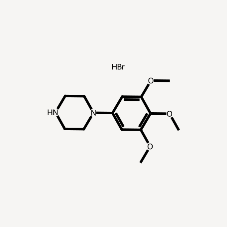 Br.COc1cc(N2CCNCC2)cc(OC)c1OC